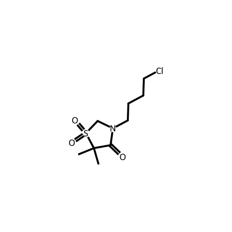 CC1(C)C(=O)N(CCCCCl)CS1(=O)=O